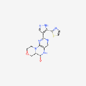 O=C1Nc2cnc(-c3cn[nH]c3-c3nccs3)nc2N2CCOCC12